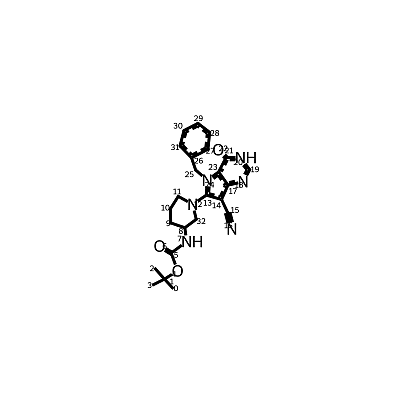 CC(C)(C)OC(=O)NC1CCCN(c2c(C#N)c3nc[nH]c(=O)c3n2Cc2ccccc2)C1